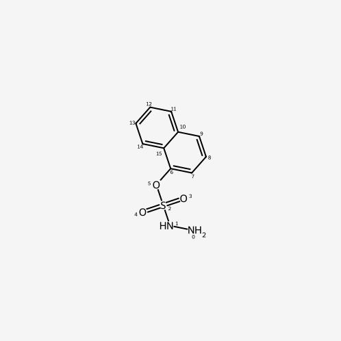 NNS(=O)(=O)Oc1cccc2ccccc12